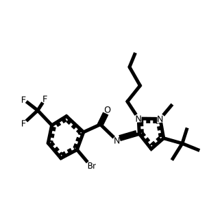 CCCCn1/c(=N\C(=O)c2cc(C(F)(F)F)ccc2Br)cc(C(C)(C)C)n1C